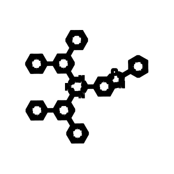 c1ccc(-c2cc(-c3ccccc3)cc(-c3nc(-c4cc(-c5ccccc5)cc(-c5ccccc5)c4)nc(-c4ccc5nc(-c6ccccc6)oc5c4)n3)c2)cc1